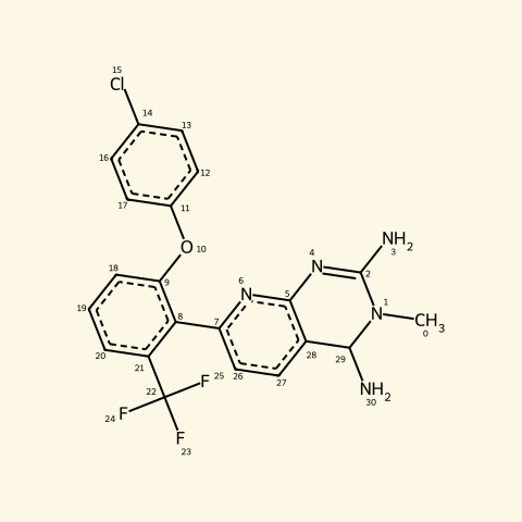 CN1C(N)=Nc2nc(-c3c(Oc4ccc(Cl)cc4)cccc3C(F)(F)F)ccc2C1N